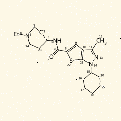 CCN1CCC(NC(=O)c2cc3c(C)nn(C4CCCCC4)c3s2)CC1